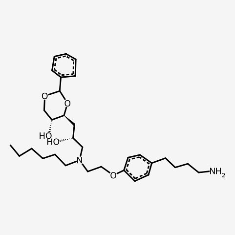 CCCCCCN(CCOc1ccc(CCCCN)cc1)C[C@H](O)C[C@@H]1OC(c2ccccc2)OC[C@H]1O